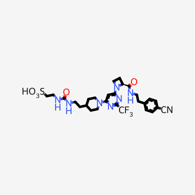 N#Cc1ccc(CCNC(=O)[C@@H]2CCN2c2cc(N3CCC(CCNC(=O)NCCS(=O)(=O)O)CC3)nc(C(F)(F)F)n2)cc1